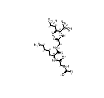 CCC(=O)NCC(=O)N[C@@H](CCCCN)C(=O)NCC(=O)N[C@H](C(=O)CCC(=O)O)[C@@H](C)O